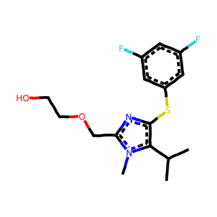 CC(C)c1c(Sc2cc(F)cc(F)c2)nc(COCCO)n1C